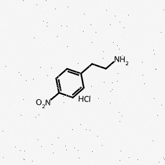 Cl.NCCc1ccc([N+](=O)[O-])cc1